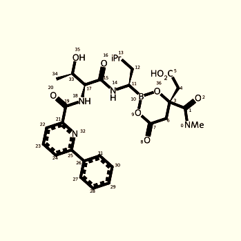 CNC(=O)[C@]1(CC(=O)O)CC(=O)OB([C@H](CC(C)C)NC(=O)[C@@H](NC(=O)c2cccc(-c3ccccc3)n2)[C@@H](C)O)O1